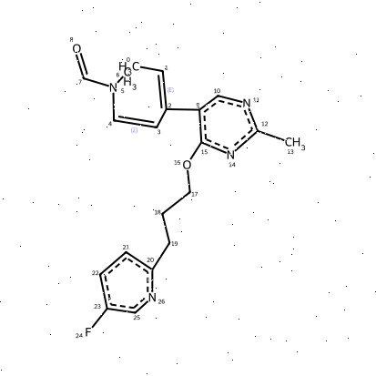 C/C=C(\C=C/N(C)C=O)c1cnc(C)nc1OCCCc1ccc(F)cn1